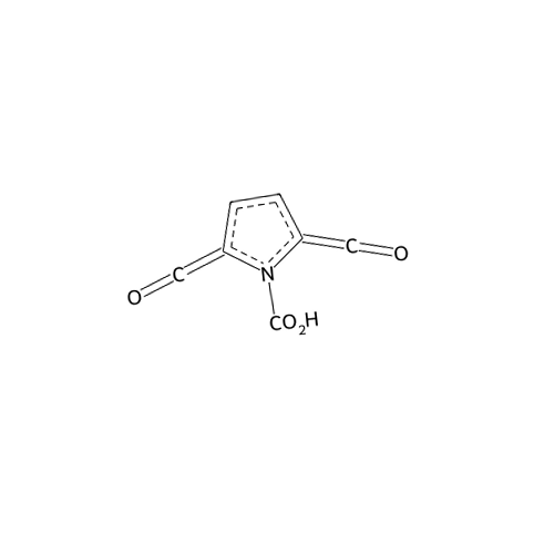 O=C=c1ccc(=C=O)n1C(=O)O